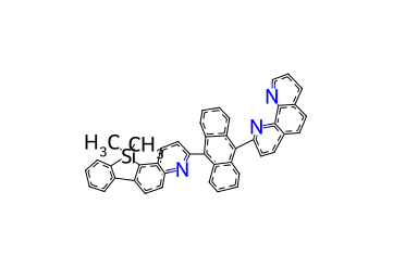 C[Si]1(C)c2ccccc2-c2ccc3nc(-c4c5ccccc5c(-c5ccc6ccc7cccnc7c6n5)c5ccccc45)ccc3c21